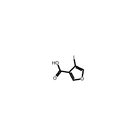 O=C(O)c1cocc1I